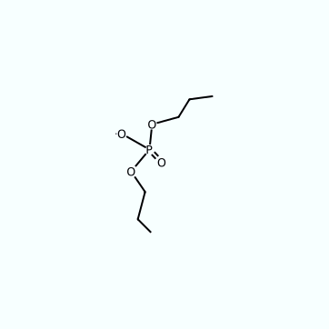 CCCOP([O])(=O)OCCC